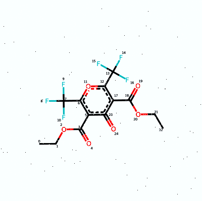 CCOC(=O)c1c(C(F)(F)F)oc(C(F)(F)F)c(C(=O)OCC)c1=O